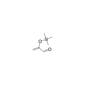 C=C(C=O)O[Si](C)(C)C